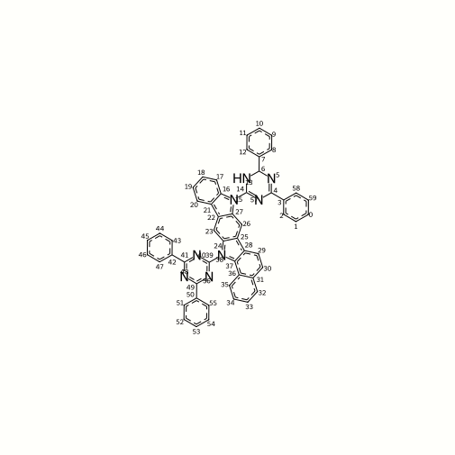 c1ccc(C2=NC(c3ccccc3)NC(n3c4ccccc4c4cc5c(cc43)c3ccc4ccccc4c3n5-c3nc(-c4ccccc4)nc(-c4ccccc4)n3)=N2)cc1